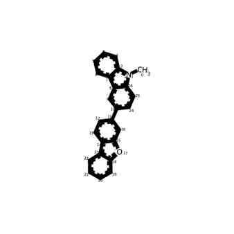 Cn1c2ccccc2c2cc(-c3ccc4c(c3)oc3ccccc34)ccc21